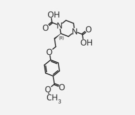 COC(=O)c1ccc(OCC[C@@H]2CN(C(=O)O)CCN2C(=O)O)cc1